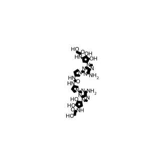 Nc1nc(N2CC[C@@H](NC(=O)N[C@@H]3CCN(c4nc(N)c5ncn([C@@H]6C[C@H](NC(=O)CO)[C@@H](O)[C@H]6O)c5n4)C3)C2)nc2c1ncn2[C@@H]1C[C@H](NC(=O)CO)[C@@H](O)[C@H]1O